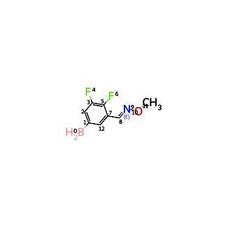 Bc1cc(F)c(F)c(/C=N/OC)c1